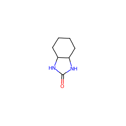 O=C1NC2CCCCC2N1